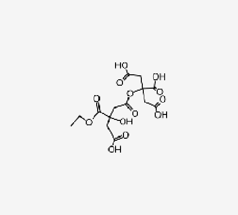 CCOC(=O)C(O)(CC(=O)O)CC(=O)OC(CC(=O)O)(CC(=O)O)C(=O)O